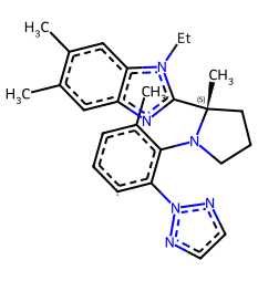 CCn1c([C@]2(C)CCCN2c2c(-n3nccn3)[c]ccc2C)nc2cc(C)c(C)cc21